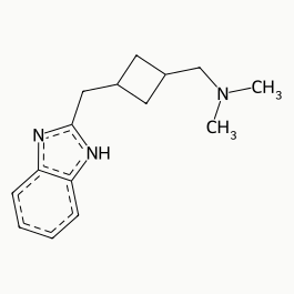 CN(C)CC1CC(Cc2nc3ccccc3[nH]2)C1